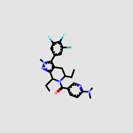 CCC1Cc2c(nn(C)c2-c2cc(F)c(F)c(F)c2)C(CC)N1C(=O)c1ccc(N(C)C)nc1